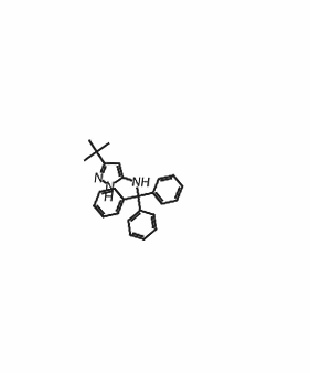 CC(C)(C)c1cc(NC(c2ccccc2)(c2ccccc2)c2ccccc2)[nH]n1